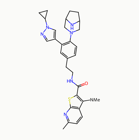 CNc1c(C(=O)NCCc2ccc(N3CC4CCC(C3)N4)c(-c3cnn(C4CC4)c3)c2)sc2nc(C)ccc12